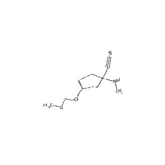 CNC1(C#N)CCC(OCOC)C1